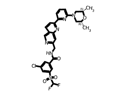 C[C@@H]1CN(c2cccc(-c3ccc4cnc(CNC(=O)c5cc(Cl)cc(S(=O)(=O)C(F)F)c5)cc4n3)n2)C[C@H](C)O1